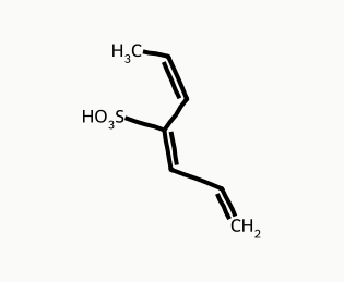 C=C/C=C(\C=C/C)S(=O)(=O)O